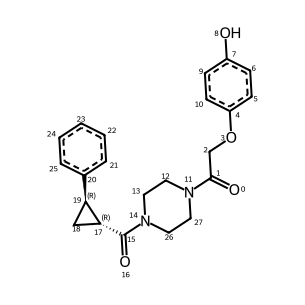 O=C(COc1ccc(O)cc1)N1CCN(C(=O)[C@@H]2C[C@H]2c2ccccc2)CC1